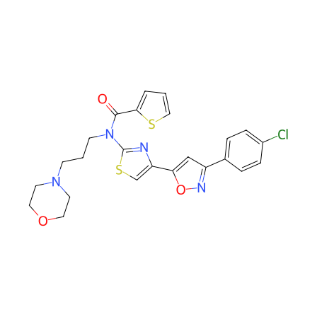 O=C(c1cccs1)N(CCCN1CCOCC1)c1nc(-c2cc(-c3ccc(Cl)cc3)no2)cs1